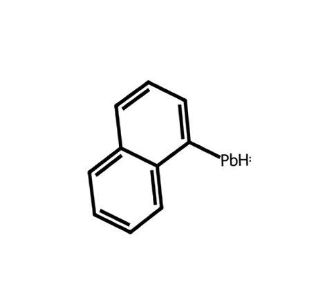 [PbH][c]1cccc2ccccc12